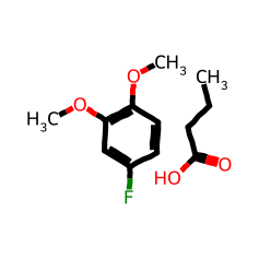 CCCC(=O)O.COc1ccc(F)cc1OC